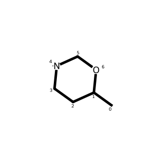 CC1CC[N]CO1